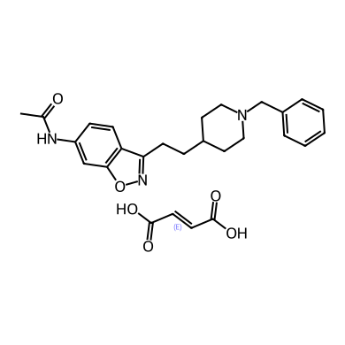 CC(=O)Nc1ccc2c(CCC3CCN(Cc4ccccc4)CC3)noc2c1.O=C(O)/C=C/C(=O)O